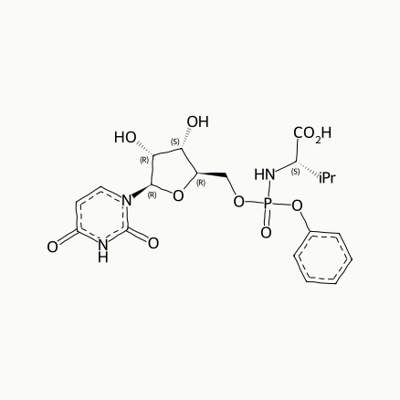 CC(C)[C@H](NP(=O)(OC[C@H]1O[C@@H](n2ccc(=O)[nH]c2=O)[C@H](O)[C@@H]1O)Oc1ccccc1)C(=O)O